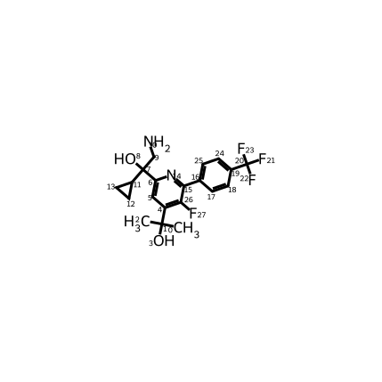 CC(C)(O)c1cc(C(O)(CN)C2CC2)nc(-c2ccc(C(F)(F)F)cc2)c1F